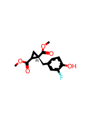 COC(=O)C1C[C@]1(Cc1ccc(O)c(F)c1)C(=O)OC